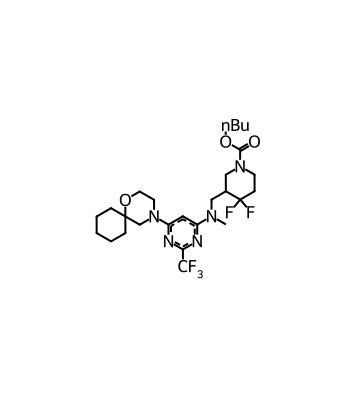 CCCCOC(=O)N1CCC(F)(F)C(CN(C)c2cc(N3CCOC4(CCCCC4)C3)nc(C(F)(F)F)n2)C1